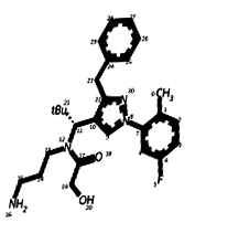 Cc1ccc(F)cc1-n1cc([C@H](N(CCCN)C(=O)CO)C(C)(C)C)c(Cc2ccccc2)n1